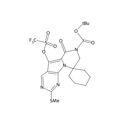 CSc1ncc2c(OS(=O)(=O)C(F)(F)F)c3n(c2n1)C1(CCCCC1)CN(C(=O)OC(C)(C)C)C3=O